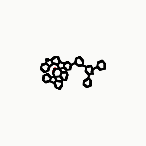 c1ccc(-c2cc(-c3cccc(-c4ccc5c(c4)-c4ccc6oc7ccccc7c6c4C54c5ccccc5C5(c6ccccc6-c6ccccc65)c5ccccc54)c3)cc(-c3ccccc3)n2)cc1